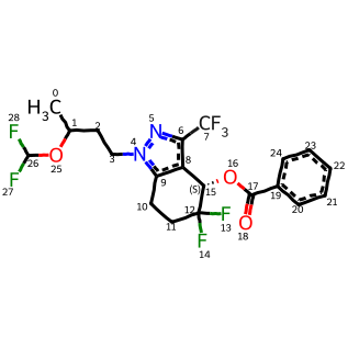 CC(CCn1nc(C(F)(F)F)c2c1CCC(F)(F)[C@H]2OC(=O)c1ccccc1)OC(F)F